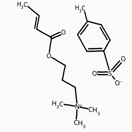 CC=CC(=O)OCCC[N+](C)(C)C.Cc1ccc(S(=O)(=O)[O-])cc1